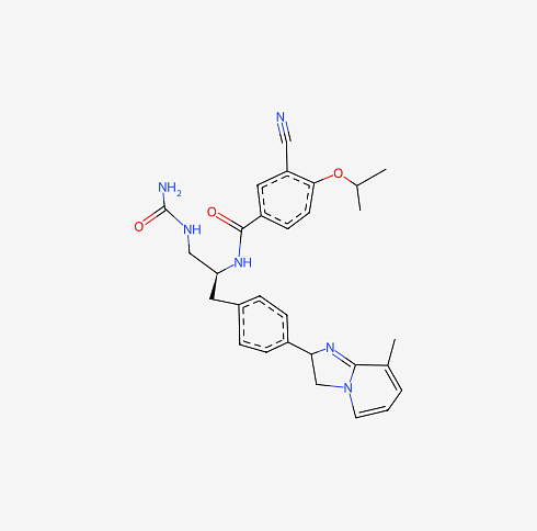 CC1=CC=CN2CC(c3ccc(C[C@@H](CNC(N)=O)NC(=O)c4ccc(OC(C)C)c(C#N)c4)cc3)N=C12